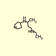 CCNCCC(C)NC1CC[N]CC1